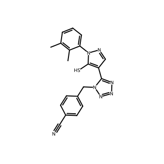 Cc1cccc(-n2ncc(-c3nnnn3Cc3ccc(C#N)cc3)c2S)c1C